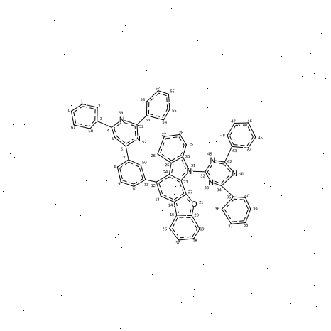 c1ccc(-c2cc(-c3cccc(-c4cc5c6ccccc6oc5c5c4c4ccccc4n5-c4nc(-c5ccccc5)nc(-c5ccccc5)n4)c3)nc(-c3ccccc3)n2)cc1